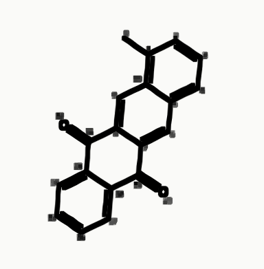 Cc1cccc2cc3c(cc12)C(=O)c1ccccc1C3=O